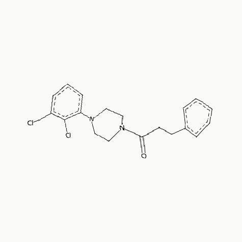 O=C(CCc1ccccc1)N1CCN(c2cccc(Cl)c2Cl)CC1